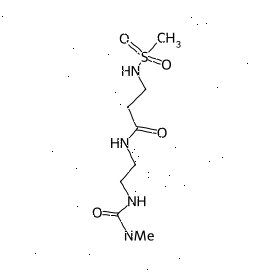 CNC(=O)NCCNC(=O)CCNS(C)(=O)=O